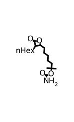 CCCCCCC1C(=O)OC1CCCCCC(C)(C)OC(N)=O